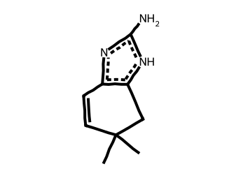 CC1(C)C=Cc2nc(N)[nH]c2C1